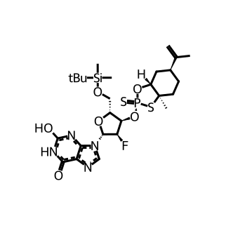 C=C(C)[C@H]1CC[C@@]2(C)S[P@](=S)(O[C@H]3[C@@H](F)[C@H](n4cnc5c(=O)[nH]c(O)nc54)O[C@@H]3CO[Si](C)(C)C(C)(C)C)O[C@@H]2C1